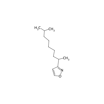 CC(C)CCCCCC(C)c1ccon1